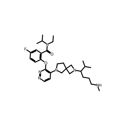 CCN(C(=O)c1cc(F)ccc1Oc1nnccc1N1CCC2(C1)CN(C(CCCNC)C(C)C)C2)C(C)C